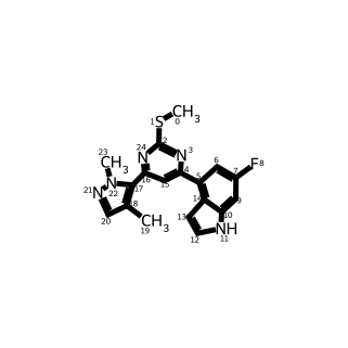 CSc1nc(-c2cc(F)cc3[nH]ccc23)cc(-c2c(C)cnn2C)n1